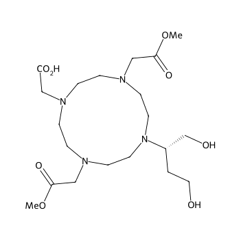 COC(=O)CN1CCN(CC(=O)O)CCN(CC(=O)OC)CCN([C@H](CO)CCO)CC1